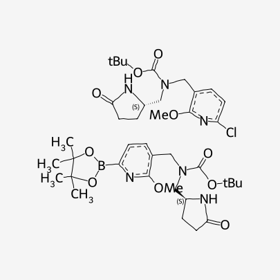 COc1nc(B2OC(C)(C)C(C)(C)O2)ccc1CN(C[C@@H]1CCC(=O)N1)C(=O)OC(C)(C)C.COc1nc(Cl)ccc1CN(C[C@@H]1CCC(=O)N1)C(=O)OC(C)(C)C